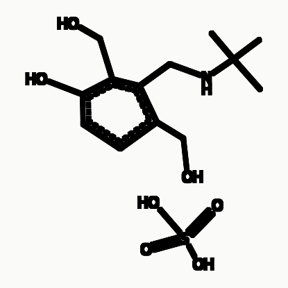 CC(C)(C)NCc1c(CO)ccc(O)c1CO.O=S(=O)(O)O